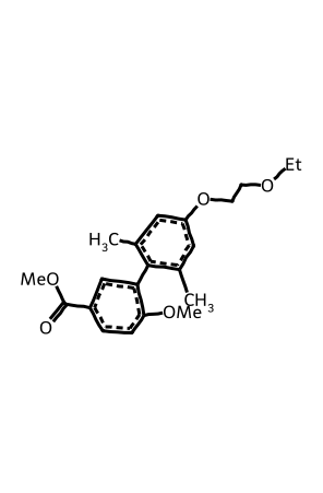 CCOCCOc1cc(C)c(-c2cc(C(=O)OC)ccc2OC)c(C)c1